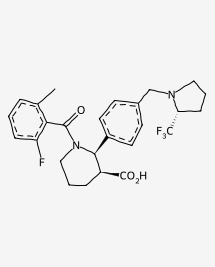 Cc1cccc(F)c1C(=O)N1CCC[C@H](C(=O)O)[C@@H]1c1ccc(CN2CCC[C@@H]2C(F)(F)F)cc1